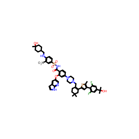 Cc1sc(C2=C(CN3CCN(c4ccc(C(=O)NS(=O)(=O)c5ccc(NCC6CCC(C)(O)CC6)c([N+](=O)[O-])c5)c(Oc5cnc6[nH]ccc6c5)c4)CC3)CCC(C)(C)C2)cc1-c1c(F)cc(C(C)(C)O)cc1F